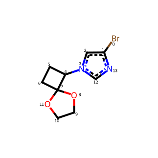 Brc1cn(C2CCC23OCCO3)cn1